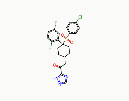 O=C(C[C@H]1CC[C@@](c2cc(F)ccc2F)(S(=O)(=O)c2ccc(Cl)cc2)CC1)c1ncn[nH]1